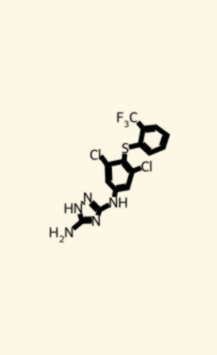 Nc1nc(Nc2cc(Cl)c(Sc3ccccc3C(F)(F)F)c(Cl)c2)n[nH]1